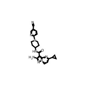 N#Cc1ccc(N2CCC(NC(=O)c3c(N)nn4ccc(C5CC5)nc34)CC2)nc1